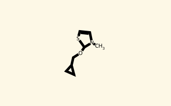 CN1C=CSC1OCC1CC1